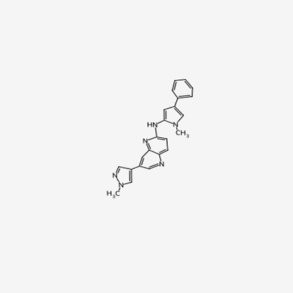 Cn1cc(-c2cnc3ccc(Nc4cc(-c5ccccc5)cn4C)nc3c2)cn1